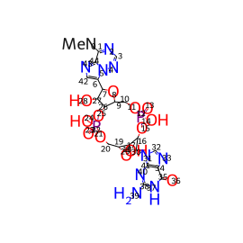 CNc1ncnn2c(C3OC4COP(=O)(O)OC5C(O)C(COP(=O)(O)OC4C3O)OC5n3cnc4c(=O)[nH]c(N)nc43)cnc12